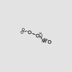 COC(=O)/C=C/c1ccc(C#Cc2ccc3c(c2)C(C)(C)CCN3Cc2cn(Cc3ccccc3)nn2)cc1